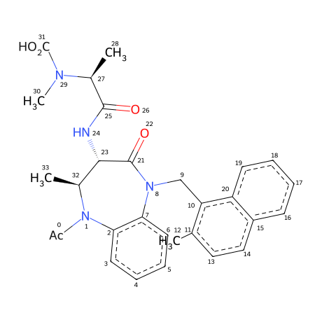 CC(=O)N1c2ccccc2N(Cc2c(C)ccc3ccccc23)C(=O)[C@@H](NC(=O)[C@H](C)N(C)C(=O)O)[C@@H]1C